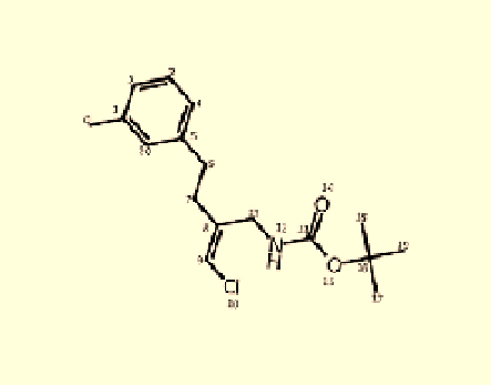 Cc1cccc(CC/C(=C/Cl)CNC(=O)OC(C)(C)C)c1